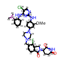 COc1cc(N2CCN(Cc3ccc4c(c3F)CN(C3CCC(=O)NC3=O)C4=O)CC2)ccc1Nc1ncc(Cl)c(Nc2ccccc2P(C)C)n1